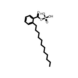 CCCCCCCCCCCCc1ccccc1C(=O)OP(=O)(O)O